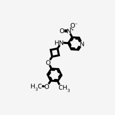 COc1cc(OC2CC(Nc3ccncc3[N+](=O)[O-])C2)ccc1C